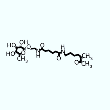 CC(=O)[C@@H](C)CCCCNC(=O)CCCCC(=O)NCCO[C@@H]1O[C@@H](C)[C@@H](O)[C@@H](O)[C@@H]1O